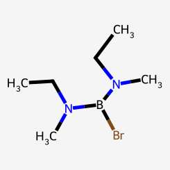 CCN(C)B(Br)N(C)CC